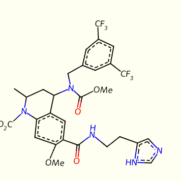 CCOC(=O)N1c2cc(OC)c(C(=O)NCCc3cnc[nH]3)cc2C(N(Cc2cc(C(F)(F)F)cc(C(F)(F)F)c2)C(=O)OC)CC1C